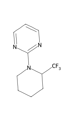 FC(F)(F)C1CCCCN1c1ncccn1